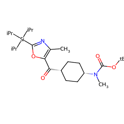 Cc1nc([Si](C(C)C)(C(C)C)C(C)C)oc1C(=O)[C@H]1CC[C@@H](N(C)C(=O)OC(C)(C)C)CC1